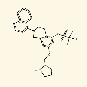 CN1CCC[C@H]1COc1nc2c(c(OS(=O)(=O)C(F)(F)F)n1)CCN(c1cccc3ccccc13)C2